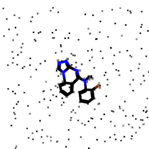 CN(c1ccccc1Br)c1nc2nncn2c2ccccc12